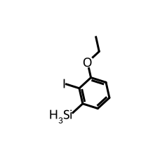 CCOc1cccc([SiH3])c1I